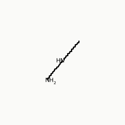 CCCCCCCCCCCCCCCCCCNCCCCCCCCCCCCCCCCN